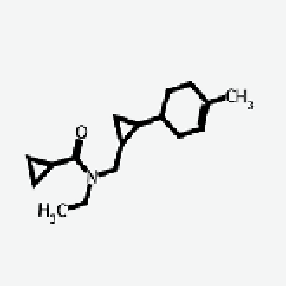 CCN(CC1CC1C1CC=C(C)CC1)C(=O)C1CC1